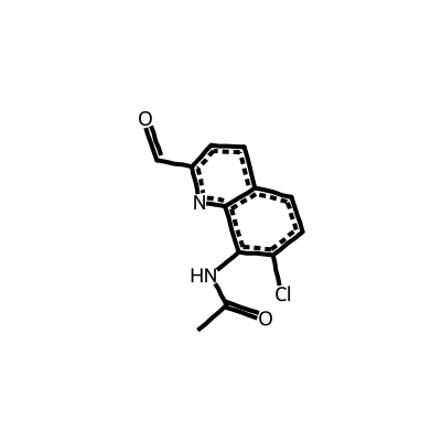 CC(=O)Nc1c(Cl)ccc2ccc(C=O)nc12